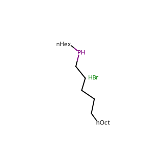 Br.CCCCCCCCCCCCCPCCCCCC